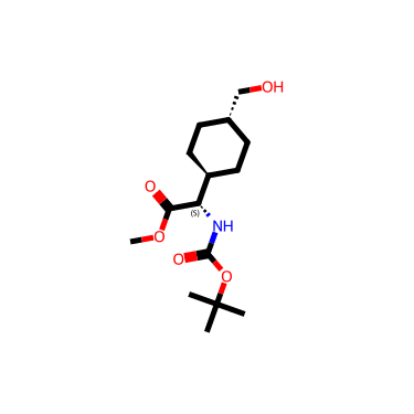 COC(=O)[C@@H](NC(=O)OC(C)(C)C)[C@H]1CC[C@H](CO)CC1